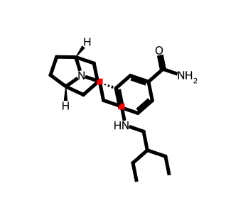 CCC(CC)CNCCCN1[C@@H]2CC[C@H]1C[C@@H](c1cccc(C(N)=O)c1)C2